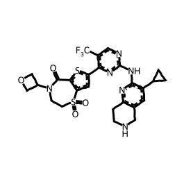 O=C1c2sc(-c3nc(Nc4nc5c(cc4C4CC4)CNCC5)ncc3C(F)(F)F)cc2S(=O)(=O)CCN1C1COC1